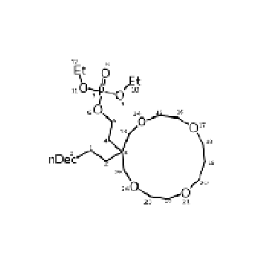 CCCCCCCCCCCCC1(CCOP(=O)(OCC)OCC)COCCOCCCOCCOC1